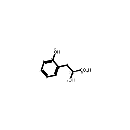 O=C(O)[C@@H](O)Cc1ccccc1O